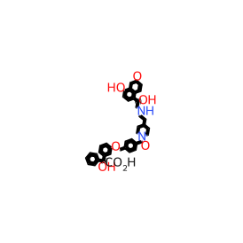 O=C1C=Cc2c([C@@H](O)CNCCC3CCN(C(=O)c4ccc(COc5cccc([C@](O)(C(=O)O)c6ccccc6)c5)cc4)CC3)ccc(O)c2C1